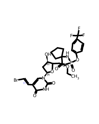 CCOC(=O)C1(NP(=O)(OCC2O[C@@H](n3cc(/C=C/Br)c(=O)[nH]c3=O)C[C@H]2O)Oc2ccc(C(F)(F)F)cc2)CCCC1